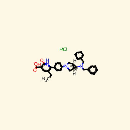 CCc1cc(C(=O)O)c(=O)[nH]c1-c1ccc(N2C[C@@H]3[C@H](C2)[C@@H]3N(Cc2ccccc2)Cc2ccccc2)cc1.Cl